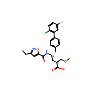 CCc1cc(C(=O)N[C@H](Cc2ccc(-c3cc(Cl)ccc3F)cc2)C[C@@H](COC)C(=O)O)on1